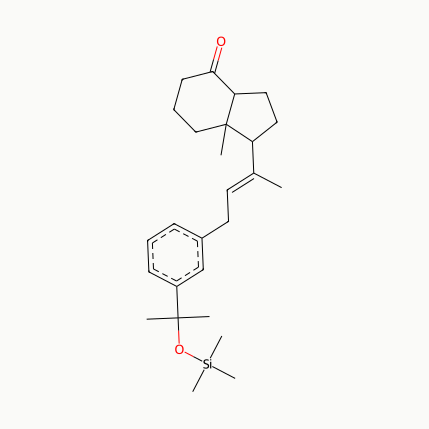 CC(=CCc1cccc(C(C)(C)O[Si](C)(C)C)c1)C1CCC2C(=O)CCCC21C